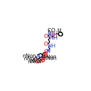 CCCCCCCCCC(=O)N1CCC(CCO/N=C\CNC(=O)CCC(NC(=O)OCc2ccccc2)C(=O)NCC(=O)O)(C(=O)CCCCCCCCC)C(C(=O)CCCCCCCCC)(C(=O)CCCCCCCCC)C1(C(=O)CCCCCCCCC)C(=O)CCCCCCCCC